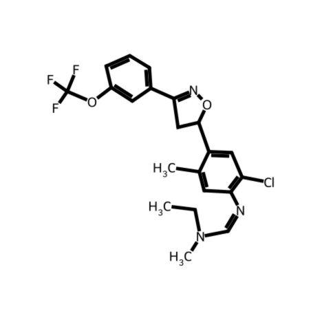 CCN(C)/C=N\c1cc(C)c(C2CC(c3cccc(OC(F)(F)F)c3)=NO2)cc1Cl